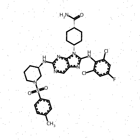 Cc1ccc(S(=O)(=O)N2CCC[C@@H](Nc3ncc4nc(Nc5c(Cl)cc(F)cc5Cl)n([C@H]5CC[C@@H](C(N)=O)CC5)c4n3)C2)cc1